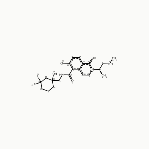 CNC[C@@H](C)n1ccc2c(C(=O)NCC3(O)CCCC(F)(F)C3)c(Cl)ccc2c1=O